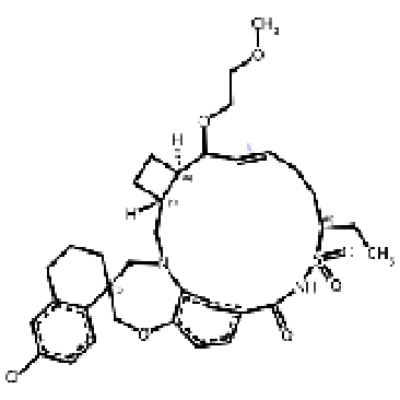 CC[C@@H]1CC/C=C/C(OCCOC)[C@@H]2CC[C@H]2CN2C[C@@]3(CCCc4cc(Cl)ccc43)COc3ccc(cc32)C(=O)NS1(=O)=O